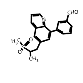 CC(Cc1cc(-c2cccc(C=O)c2)c2ncccc2c1)S(C)(=O)=O